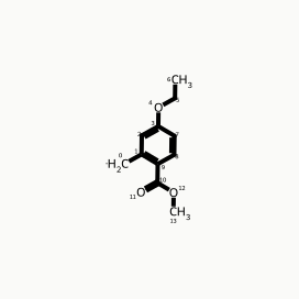 [CH2]c1cc(OCC)ccc1C(=O)OC